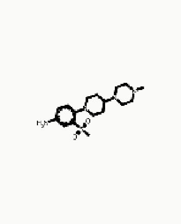 CN1CCN(C2CCN(c3ccc(N)cc3S(C)(=O)=O)CC2)CC1